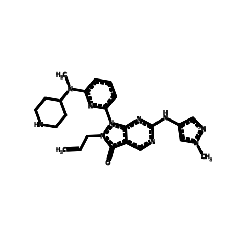 C=CCn1c(=O)c2cnc(Nc3cnn(C)c3)nc2n1-c1cccc(N(C)C2CCNCC2)n1